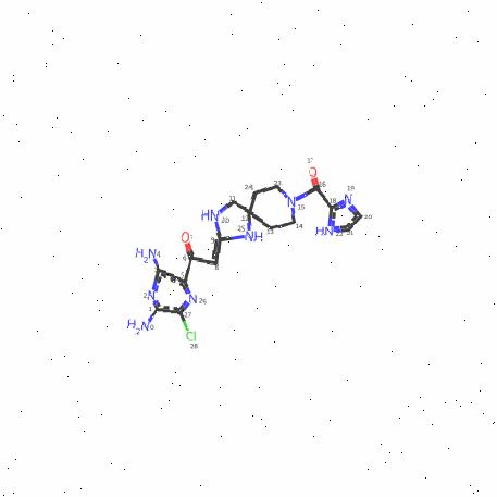 Nc1nc(N)c(C(=O)/C=C2\NCC3(CCN(C(=O)c4ncc[nH]4)CC3)N2)nc1Cl